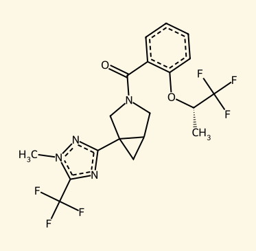 C[C@H](Oc1ccccc1C(=O)N1CC2CC2(c2nc(C(F)(F)F)n(C)n2)C1)C(F)(F)F